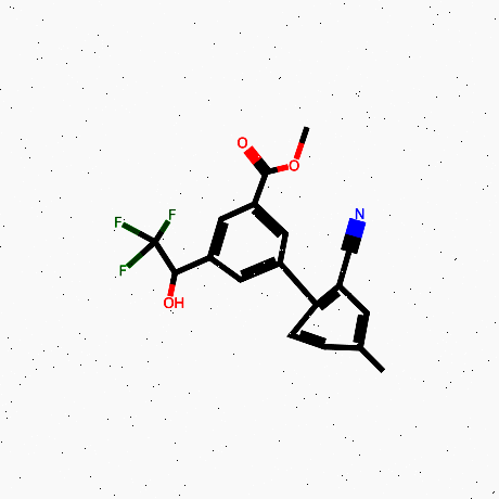 COC(=O)c1cc(-c2ccc(C)cc2C#N)cc(C(O)C(F)(F)F)c1